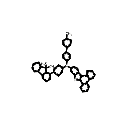 Cc1ccc(-c2ccc(N(c3ccc(-c4cccc5c4C(C)(C)c4ccccc4-5)cc3)c3ccc4c(c3)oc3c5ccccc5c5ccccc5c43)cc2)cc1